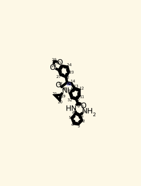 Nc1ccccc1NC(=O)c1ccc(/C=C(\C(=O)NC2CC2)c2ccc3c(c2)OCO3)cc1